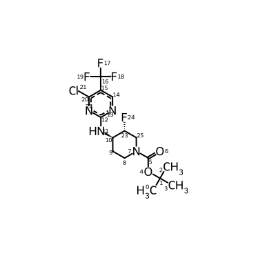 CC(C)(C)OC(=O)N1CC[C@@H](Nc2ncc(C(F)(F)F)c(Cl)n2)[C@H](F)C1